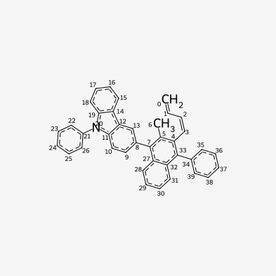 C=C/C=C\c1c(C)c(-c2ccc3c(c2)c2ccccc2n3-c2ccccc2)c2ccccc2c1-c1ccccc1